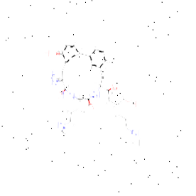 CNCCC[C@@H](CO)CC(=O)[C@@H]1Cc2cccc(c2)-c2ccc(O)c(c2)C[C@H](NC)C(=O)N[C@@H](CCCNC)C(=O)N1